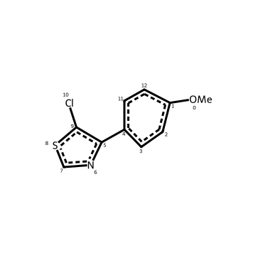 COc1ccc(-c2ncsc2Cl)cc1